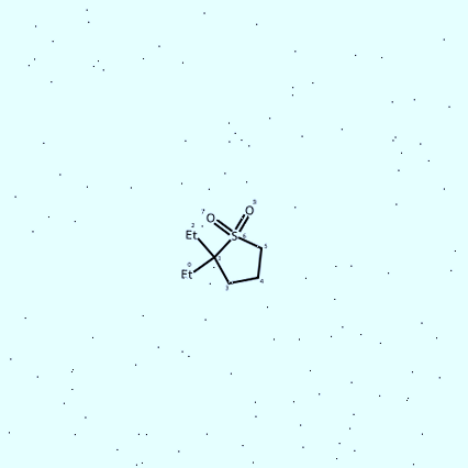 CCC1(CC)CCCS1(=O)=O